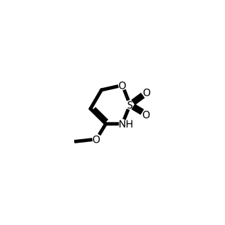 COC1=CCOS(=O)(=O)N1